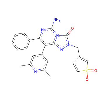 Cc1cc(-c2c(-c3ccccc3)nc(N)n3c(=O)n(CC4=CS(=O)(=O)C=C4)nc23)cc(C)n1